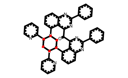 O=C(c1nc(-c2ccccc2)nc2cccc(N3CCN(c4ccccn4)CC3)c12)c1nc(-c2ccccc2)nc2cccc(N3CCN(c4ccccn4)CC3)c12